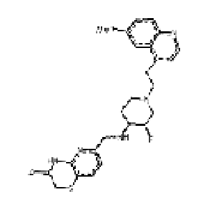 COc1ccc2nccc(CCN3CC[C@H](NCc4ccc5c(n4)NC(=O)CS5)[C@H](F)C3)c2c1